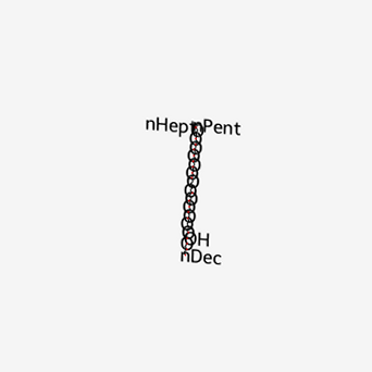 CCCCCCCCCCCCCOCC(O)COCCOCCOCCOCCOCCOCCOCCOCCOCCOCCOCCOCCOC(CCCCC)CCCCCCC